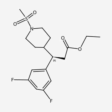 CCOC(=O)C[C@@H](c1cc(F)cc(F)c1)C1CCN(S(C)(=O)=O)CC1